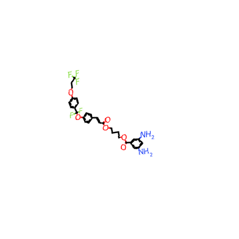 Nc1cc(N)cc(C(=O)OCCCCOC(=O)C=Cc2ccc(OC(F)(F)c3ccc(OCCC(F)(F)F)cc3)cc2)c1